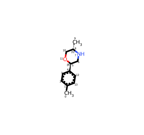 Cc1ccc([C@@H]2CN[C@@H](C)CO2)cc1